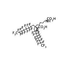 O=C(O)NCCCCCC(CC(F)(F)C(F)(F)C(F)(F)C(F)(F)C(F)(F)C(F)(F)C(F)(F)F)(CC(F)(F)C(F)(F)C(F)(F)C(F)(F)C(F)(F)C(F)(F)C(F)(F)F)NC(=O)O